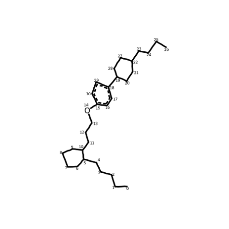 CCCCCC1CCCCC1CCCOc1ccc(C2CCC(CCCC)CC2)cc1